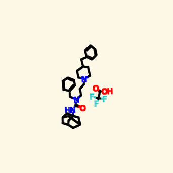 O=C(NC12CC3CC(CC(C3)C1)C2)N(CCCN1CCC(Cc2ccccc2)CC1)Cc1ccccc1.O=C(O)C(F)(F)F